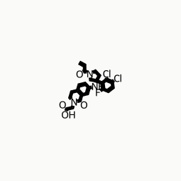 C=CC(=O)N1CCC(Nc2ccc3c(c2)C(=O)N(CC(=O)O)CC3)(c2c(F)ccc(Cl)c2Cl)C1